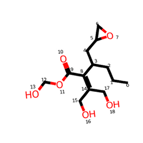 CCCC(CC1CO1)C(C(=O)OCO)=C(CO)CO